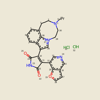 CC(C)N1CCc2cccc3c(C4=C(c5cncc6ccoc56)C(=O)NC4=O)cn(c23)CC1.Cl.Cl